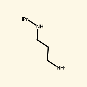 CC(C)NCCC[NH]